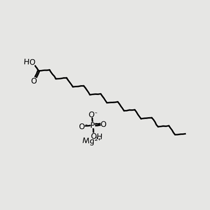 CCCCCCCCCCCCCCCCCC(=O)O.O=P([O-])([O-])O.[Mg+2]